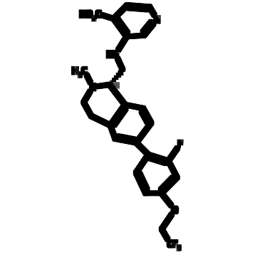 CN1CCc2cc(-c3ccc(OCC(F)(F)F)cc3F)ccc2[C@H]1CNc1cnccc1C(=O)O